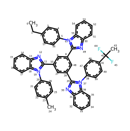 CCc1ccc(-n2c(-c3cc(-c4nc5ccccc5n4-c4ccc(C)cc4)cc(-c4nc5ccccc5n4-c4ccc(C(C)(F)F)cc4)c3)nc3ccccc32)cc1